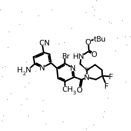 Cc1cc(-c2cc(C#N)cc(N)n2)c(Br)nc1C(=O)N1CC(F)(F)CC[C@@H]1CNC(=O)OC(C)(C)C